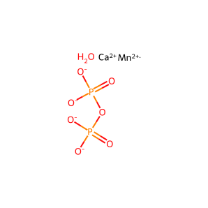 O.O=P([O-])([O-])OP(=O)([O-])[O-].[Ca+2].[Mn+2]